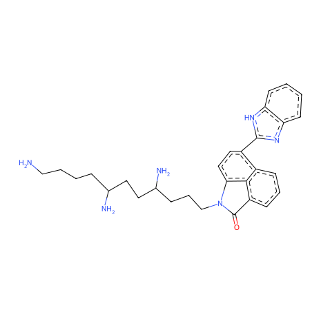 NCCCCC(N)CCC(N)CCCN1C(=O)c2cccc3c(-c4nc5ccccc5[nH]4)ccc1c23